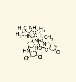 CC[C@H](C)C(C(=O)N[C@]1(C(=O)N[C@H](C(N)=O)C(C)C)CCc2[nH]c3c(Cl)cc(Cl)cc3c2C1)N(Cc1ccc(Cl)cc1)C(=O)O